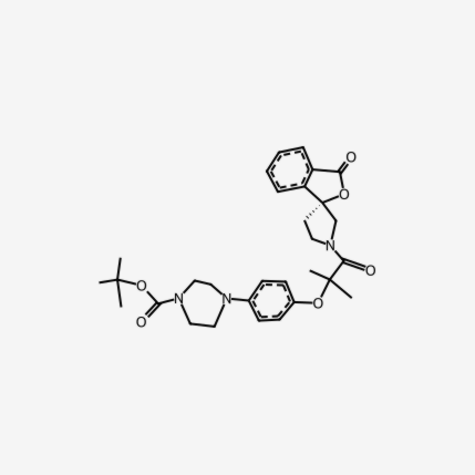 CC(C)(C)OC(=O)N1CCN(c2ccc(OC(C)(C)C(=O)N3CC[C@@]4(C3)OC(=O)c3ccccc34)cc2)CC1